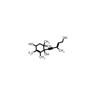 CC(C#CC1(O)C(C)=C(C(F)(F)F)C(O)CC1(C)C)=CCO